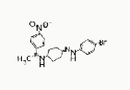 C[C@@H](NC1CCC(=NNc2ccc(Br)cc2)CC1)c1ccc([N+](=O)[O-])cc1